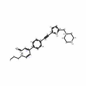 CCCN/C=C\C(=C/C=O)c1ccc(C#Cc2ccc(CN3CCOCC3)o2)cc1